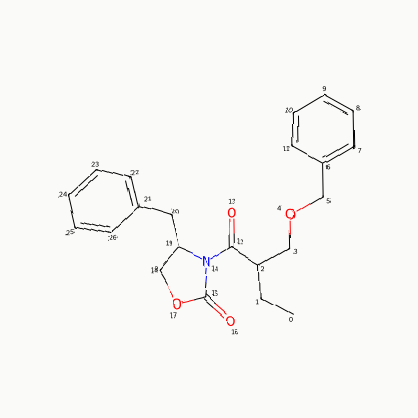 CCC(COCc1ccccc1)C(=O)N1C(=O)OCC1Cc1ccccc1